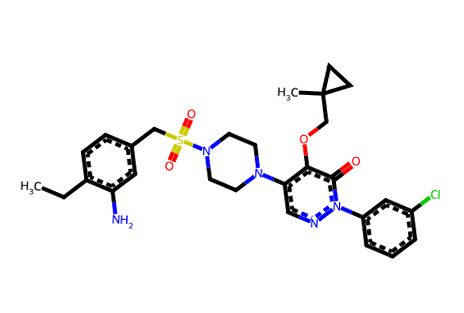 CCc1ccc(CS(=O)(=O)N2CCN(c3cnn(-c4cccc(Cl)c4)c(=O)c3OCC3(C)CC3)CC2)cc1N